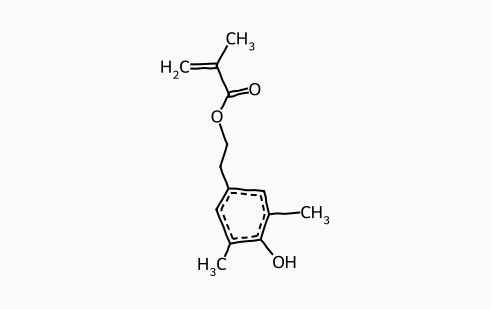 C=C(C)C(=O)OCCc1cc(C)c(O)c(C)c1